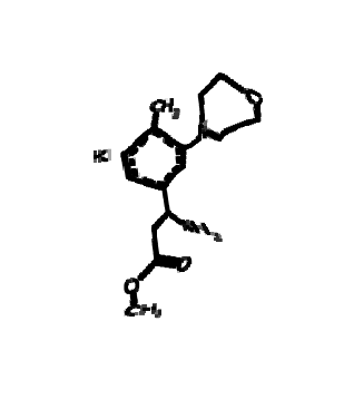 COC(=O)CC(N)c1ccc(C)c(N2CCOCC2)c1.Cl